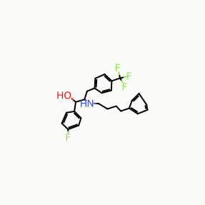 OC(c1ccc(F)cc1)C(Cc1ccc(C(F)(F)F)cc1)NCCCCc1ccccc1